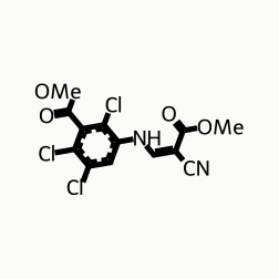 COC(=O)C(C#N)=CNc1cc(Cl)c(Cl)c(C(=O)OC)c1Cl